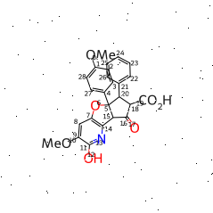 COc1ccc(C23Oc4cc(OC)c(O)nc4C2C(=O)C(C(=O)O)C3c2ccccc2)cc1